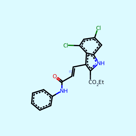 CCOC(=O)c1[nH]c2cc(Cl)cc(Cl)c2c1/C=C/C(=O)Nc1ccccc1